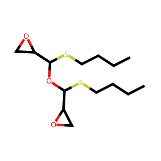 CCCCSC(OC(SCCCC)C1CO1)C1CO1